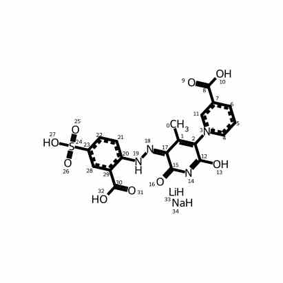 CC1=C([n+]2cccc(C(=O)O)c2)C(O)=NC(=O)/C1=N\Nc1ccc(S(=O)(=O)O)cc1C(=O)O.[LiH].[NaH]